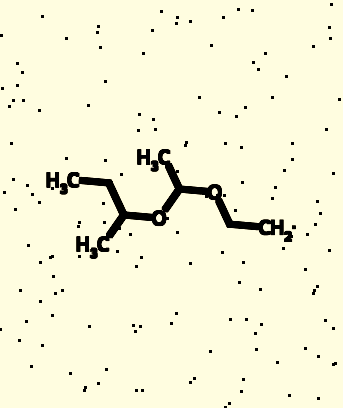 [CH2]COC(C)OC(C)CC